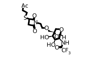 CC(=O)CCSC1CC(=O)N(CCOC[C@@]23CO[C@@H](O2)[C@@H](NC(=O)C(F)(F)F)[C@@H](O)[C@H]3O)C1=O